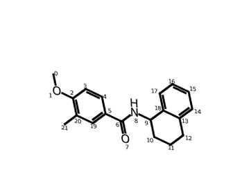 COc1ccc(C(=O)NC2CCCc3ccccc32)cc1C